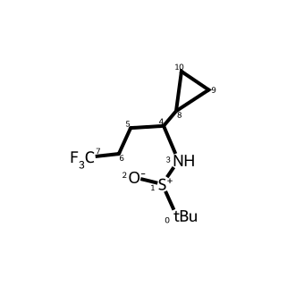 CC(C)(C)[S+]([O-])NC(CCC(F)(F)F)C1CC1